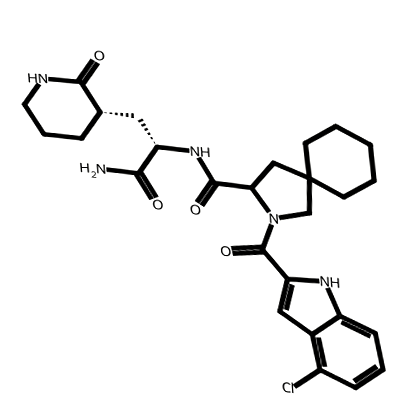 NC(=O)[C@H](C[C@@H]1CCCNC1=O)NC(=O)C1CC2(CCCCC2)CN1C(=O)c1cc2c(Cl)cccc2[nH]1